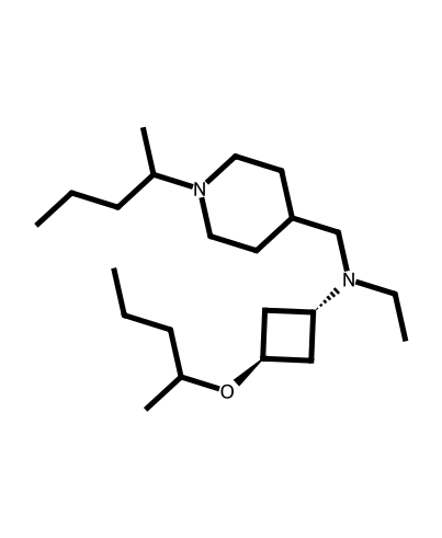 CCCC(C)O[C@H]1C[C@H](N(CC)CC2CCN(C(C)CCC)CC2)C1